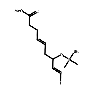 COC(=O)CCC=CCC(C=CI)O[Si](C)(C)C(C)(C)C